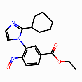 CCOC(=O)c1ccc(N=O)c(-n2ccnc2C2CCCCC2)c1